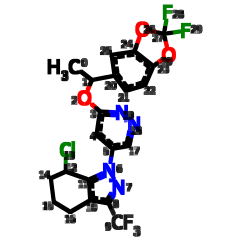 CC(Oc1cc(-n2nc(C(F)(F)F)c3c2C(Cl)CCC3)cnn1)c1ccc2c(c1)OC(F)(F)O2